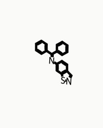 c1ccc(C(=Nc2ccc3cnsc3c2)c2ccccc2)cc1